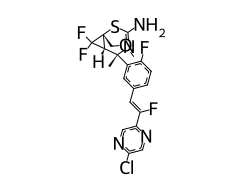 COC[C@@]12SC(N)=N[C@](C)(c3cc(/C=C(\F)c4cnc(Cl)cn4)ccc3F)[C@@H]1C2(F)F